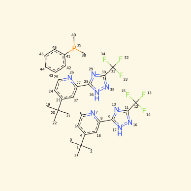 CC(C)(C)c1ccnc(-c2nc(C(F)(F)F)n[nH]2)c1.CC(C)(C)c1ccnc(-c2nc(C(F)(F)F)n[nH]2)c1.CP(C)c1ccccc1